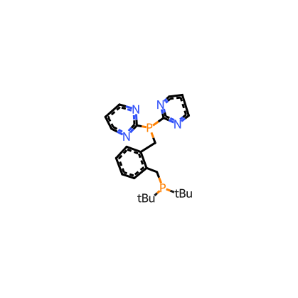 CC(C)(C)P(Cc1ccccc1CP(c1ncccn1)c1ncccn1)C(C)(C)C